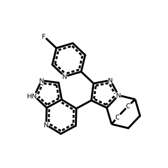 Fc1ccc(-c2nn3c(c2-c2ccnc4[nH]ncc24)C2CCC3CC2)nc1